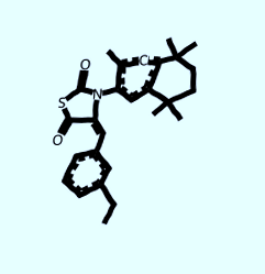 CCc1cccc(C=C2C(=O)SC(=O)N2c2cc3c(cc2C)C(C)(C)CCC3(C)C)c1